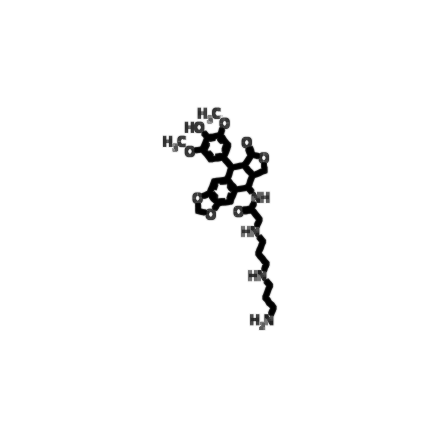 COc1cc(C2c3cc4c(cc3C(NC(=O)CNCCCNCCCN)C3COC(=O)C23)OCO4)cc(OC)c1O